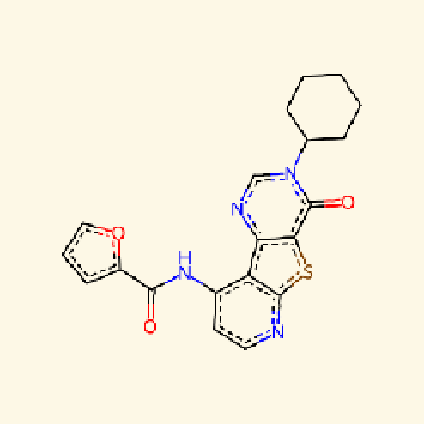 O=C(Nc1ccnc2sc3c(=O)n(C4CCCCC4)cnc3c12)c1ccco1